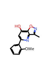 COc1ccccc1-c1cc(O)c2onc(C)c2n1